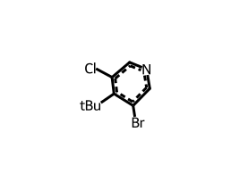 CC(C)(C)c1c(Cl)cncc1Br